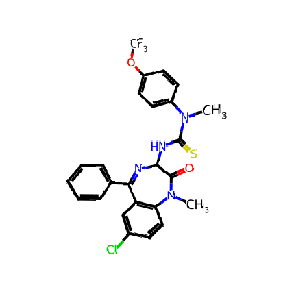 CN(C(=S)NC1N=C(c2ccccc2)c2cc(Cl)ccc2N(C)C1=O)c1ccc(OC(F)(F)F)cc1